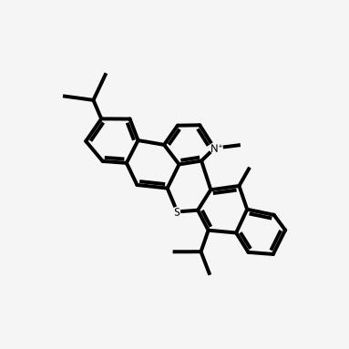 Cc1c2c(c(C(C)C)c3ccccc13)Sc1cc3ccc(C(C)C)cc3c3cc[n+](C)c-2c13